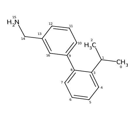 CC(C)c1ccccc1-c1cccc(CN)c1